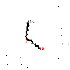 CCOC(=O)CCCCCCCC1OC1CCCCCCO